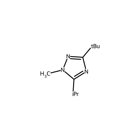 CC(C)c1nc(C(C)(C)C)nn1C